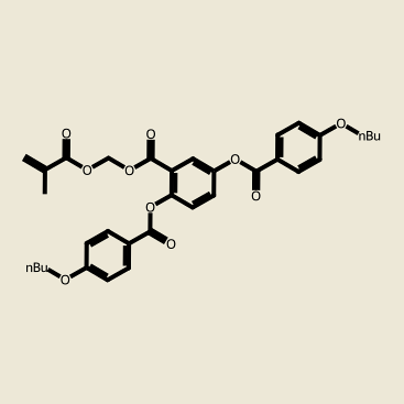 C=C(C)C(=O)OCOC(=O)c1cc(OC(=O)c2ccc(OCCCC)cc2)ccc1OC(=O)c1ccc(OCCCC)cc1